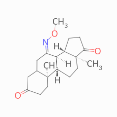 CO/N=C1/CC2CC(=O)CC[C@]2(C)[C@H]2CC[C@]3(C)C(=O)CC[C@H]3[C@H]12